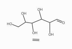 C=C.O=CC(O)C(O)C(O)C(O)CO